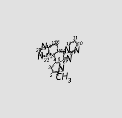 Cc1cccc(-c2nc3ncccn3c2-c2ccc3ncncc3c2)n1